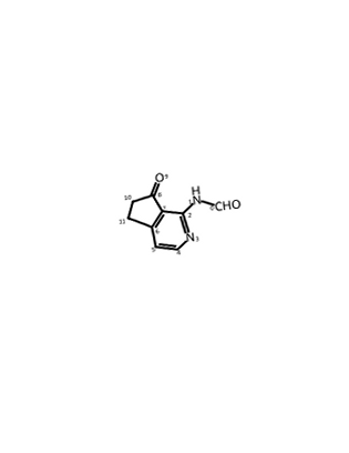 O=CNc1nccc2c1C(=O)CC2